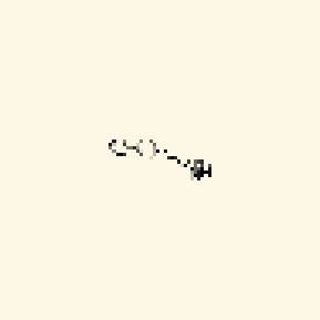 C1=C(c2ccccc2)CCN(CCCCn2ccnn2)C1